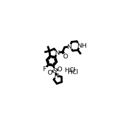 CC1CN(CC(=O)N2CC(C)(C)c3cc(F)c(S(=O)(=O)N4CCCC4)cc32)CCN1.Cl.Cl